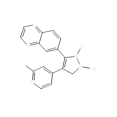 Cc1cc(C2=C(c3ccc4nccnc4c3)N(C)N(C)C2)ccn1